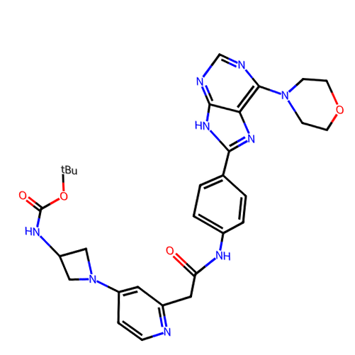 CC(C)(C)OC(=O)NC1CN(c2ccnc(CC(=O)Nc3ccc(-c4nc5c(N6CCOCC6)ncnc5[nH]4)cc3)c2)C1